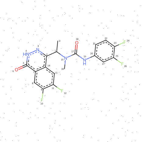 CC(c1n[nH]c(=O)c2cc(F)c(F)cc12)N(C)C(=O)Nc1ccc(F)c(F)c1